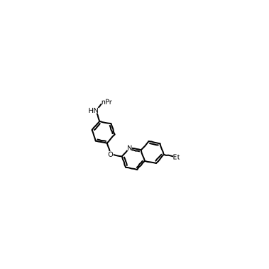 CCCNc1ccc(Oc2ccc3cc(CC)ccc3n2)cc1